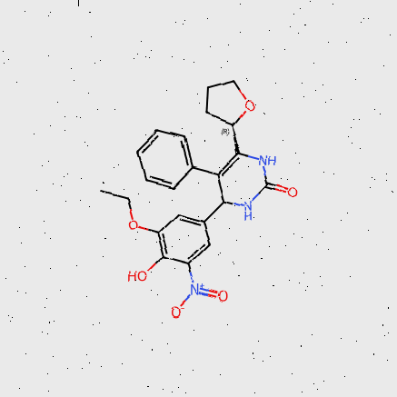 CCOc1cc(C2NC(=O)NC([C@H]3CCCO3)=C2c2ccccc2)cc([N+](=O)[O-])c1O